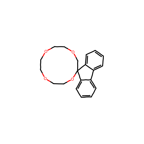 c1ccc2c(c1)-c1ccccc1C21COCCOCCOCCO1